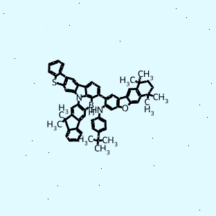 CC(C)(C)c1ccc(Nc2cc3oc4cc5c(cc4c3cc2-c2ccc3c4cc6c(cc4n4c3c2Bc2cc3c(cc2-4)C(C)(C)c2ccccc2-3)sc2ccccc26)C(C)(C)CCC5(C)C)cc1